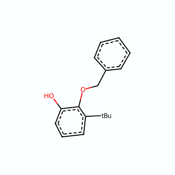 CC(C)(C)c1cccc(O)c1OCc1ccccc1